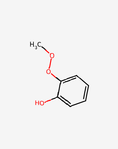 COOc1ccccc1O